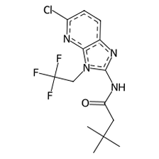 CC(C)(C)CC(=O)Nc1nc2ccc(Cl)nc2n1CC(F)(F)F